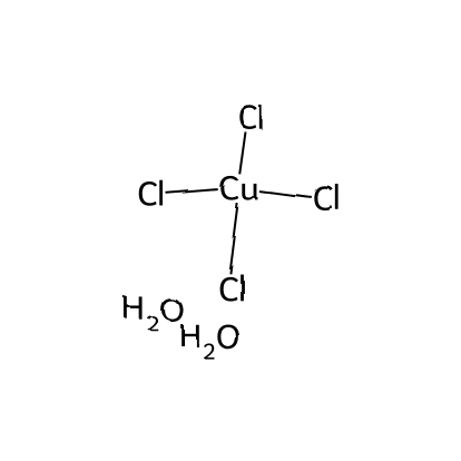 O.O.[Cl][Cu]([Cl])([Cl])[Cl]